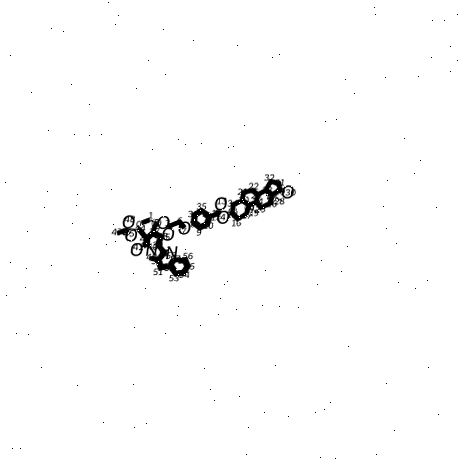 CC[C@H](OC(=O)COc1ccc(C(=O)O[C@H]2CC[C@@]3(C)C(CCC4C3CC[C@]3(C)C(=O)CCC43)C2)cc1)c1cc2n(c(=O)c1COC(C)=O)Cc1cc3ccccc3nc1-2